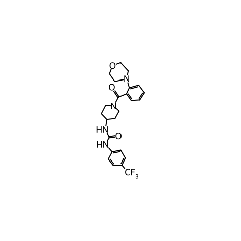 O=C(Nc1ccc(C(F)(F)F)cc1)NC1CCN(C(=O)c2ccccc2N2CCOCC2)CC1